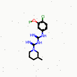 CC1CCCN(C(=N)NC(=N)Nc2ccc(Cl)c(OF)c2)C1